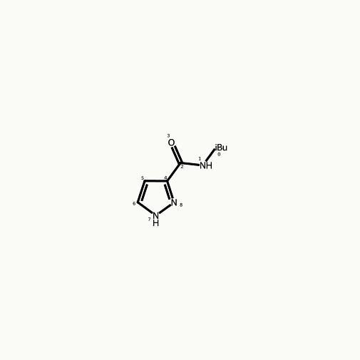 CCC(C)NC(=O)c1cc[nH]n1